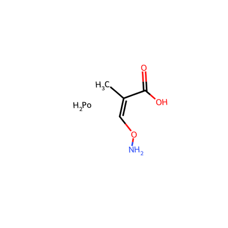 CC(=CON)C(=O)O.[PoH2]